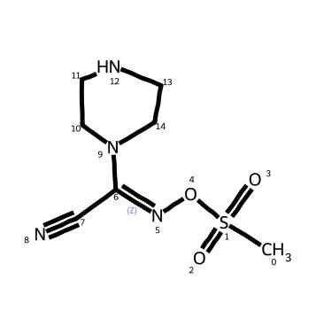 CS(=O)(=O)O/N=C(/C#N)N1CCNCC1